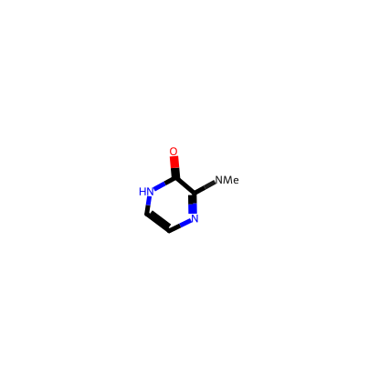 CNc1ncc[nH]c1=O